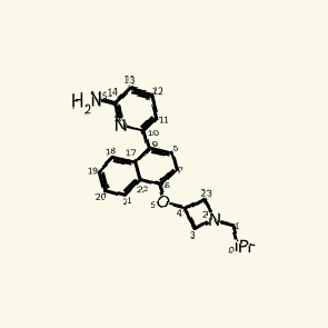 CC(C)CN1CC(Oc2ccc(-c3cccc(N)n3)c3ccccc23)C1